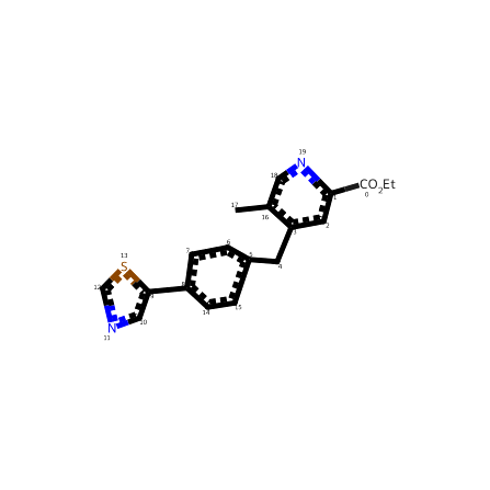 CCOC(=O)c1cc(Cc2ccc(-c3cncs3)cc2)c(C)cn1